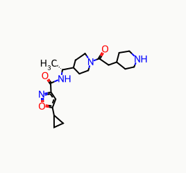 C[C@@H](NC(=O)c1cc(C2CC2)on1)C1CCN(C(=O)CC2CCNCC2)CC1